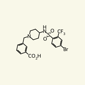 O=C(O)c1cccc(CN2CCC(NS(=O)(=O)c3ccc(Br)cc3C(F)(F)F)CC2)c1